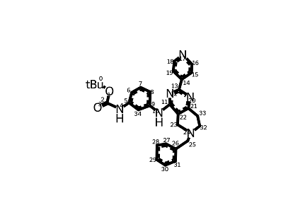 CC(C)(C)OC(=O)Nc1cccc(Nc2nc(-c3ccncc3)nc3c2CN(Cc2ccccc2)CC3)c1